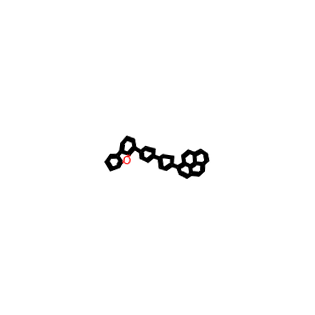 C1=C(c2ccc(-c3cccc4c3oc3ccccc34)cc2)CCC(c2ccc3ccc4cccc5ccc2c3c45)=C1